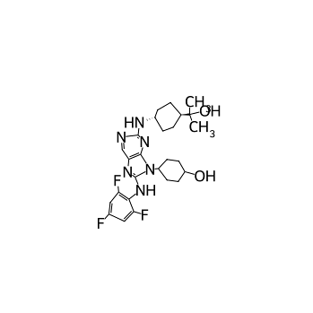 CC(C)(O)[C@H]1CC[C@H](Nc2ncc3nc(Nc4c(F)cc(F)cc4F)n(C4CCC(O)CC4)c3n2)CC1